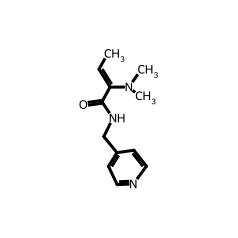 CC=C(C(=O)NCc1ccncc1)N(C)C